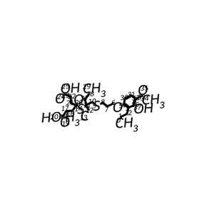 CCCc1c(OCCCSCC2(CC)SC(CCC(=O)O)(CCC(=O)O)OC2CC)ccc(C(C)=O)c1O